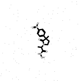 CC(C(=O)NO)N1CCC(C)(c2ccc([N+](=O)[O-])cc2)C1=O